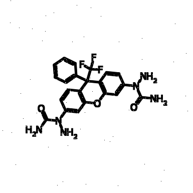 NC(=O)N(N)c1ccc2c(c1)Oc1cc(N(N)C(N)=O)ccc1C2(c1ccccc1)C(F)(F)F